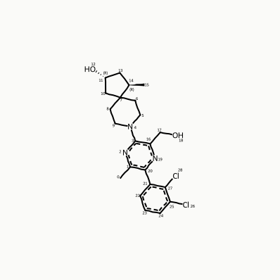 Cc1nc(N2CCC3(CC2)C[C@H](O)C[C@H]3C)c(CO)nc1-c1cccc(Cl)c1Cl